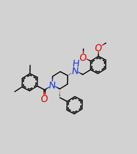 COc1cccc(CN[C@H]2CCN(C(=O)c3cc(C)cc(C)c3)[C@@H](Cc3ccccc3)C2)c1OC